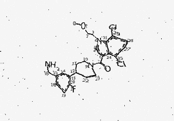 COCCn1cc(C(=O)N2CCC(c3cc(CN)ccc3F)CC2)c2c(Cl)ccc(Cl)c21